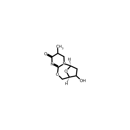 CC1CN2C(=NC1=O)OC[C@H]1O[C@@H]2CC1O